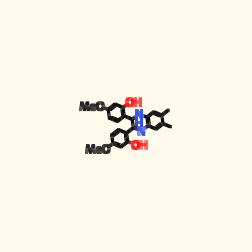 COc1ccc(C2=Nc3cc(C)c(C)cc3NC2c2ccc(OC)cc2O)c(O)c1